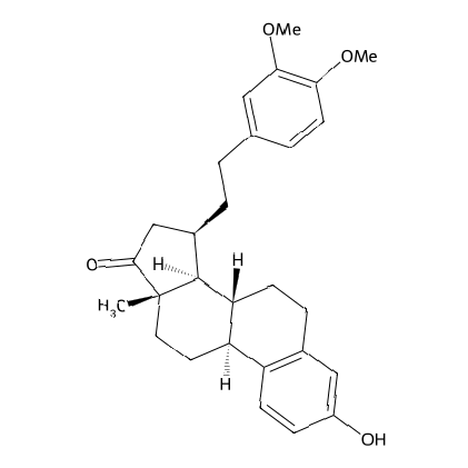 COc1ccc(CC[C@@H]2CC(=O)[C@@]3(C)CC[C@@H]4c5ccc(O)cc5CC[C@H]4[C@H]23)cc1OC